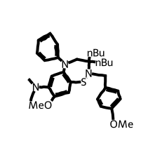 CCCCC1(CCCC)CN(c2ccccc2)c2cc(N(C)C)c(OC)cc2SN1Cc1ccc(OC)cc1